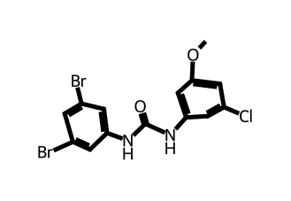 COc1cc(Cl)cc(NC(=O)Nc2cc(Br)cc(Br)c2)c1